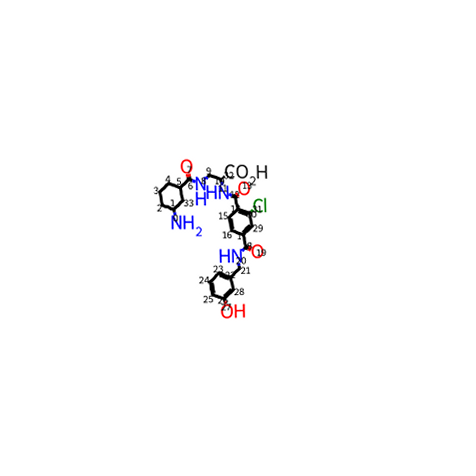 NC1CCCC(C(=O)NC[C@H](NC(=O)c2ccc(C(=O)NCc3cccc(O)c3)cc2Cl)C(=O)O)C1